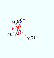 CCCCCCCCCCCCCCCCC(COP(O)OCCN(C)C)OC(=O)OCC